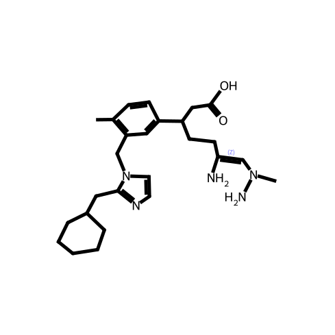 Cc1ccc(C(CC/C(N)=C/N(C)N)CC(=O)O)cc1Cn1ccnc1CC1CCCCC1